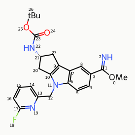 COC(=N)c1ccc2c(c1)c1c(n2Cc2cccc(F)n2)C[C@H](NC(=O)OC(C)(C)C)C1